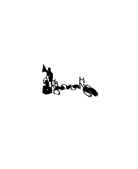 Cc1ccc(NC(=O)c2ccccc2NC(=O)CCOCCOCCNC(=O)OC(C)(C)C)nc1C1CC1